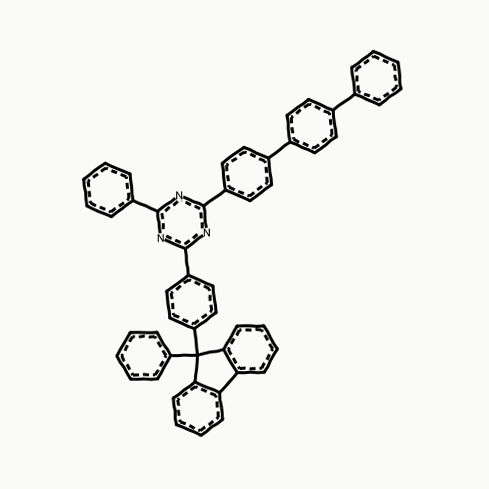 c1ccc(-c2ccc(-c3ccc(-c4nc(-c5ccccc5)nc(-c5ccc(C6(c7ccccc7)c7ccccc7-c7ccccc76)cc5)n4)cc3)cc2)cc1